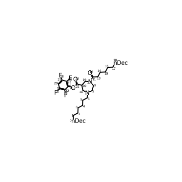 CCCCCCCCCCCCCCCCN1CCN(C(=O)CCCCCCCCCCCCCCC)CC(C(=O)Oc2c(F)c(F)cc(F)c2F)C1